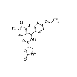 O=C1NC[C@@H](C(=O)NC(c2ccc(OCC(F)(F)F)nc2)c2ccc(F)c(Cl)c2F)O1